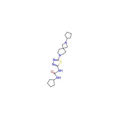 O=C(Nc1nnc(N2CCC3(CC2)CN(C2CCCC2)C3)s1)NC1CCCC1